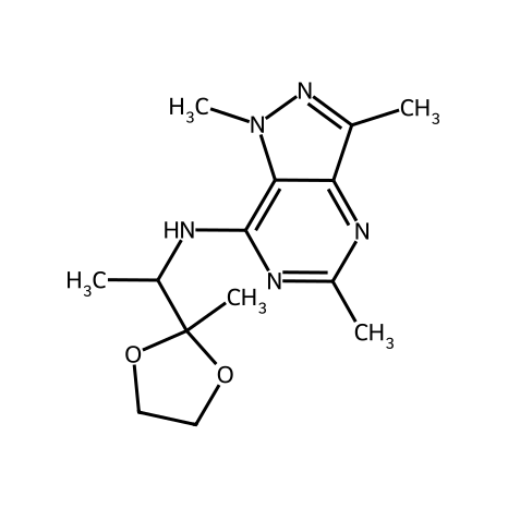 Cc1nc(NC(C)C2(C)OCCO2)c2c(n1)c(C)nn2C